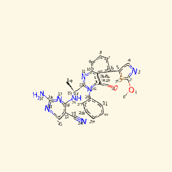 COc1ncc(-c2cccc3nc([C@H](C)Nc4nc(N)ncc4C#N)n(-c4ccccc4)c(=O)c23)s1